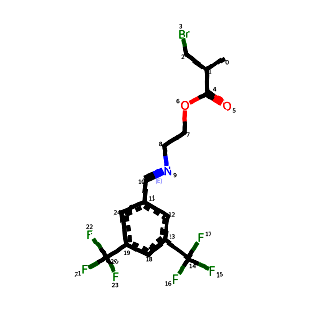 CC(CBr)C(=O)OCC/N=C/c1cc(C(F)(F)F)cc(C(F)(F)F)c1